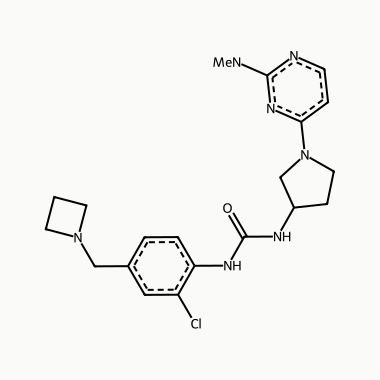 CNc1nccc(N2CCC(NC(=O)Nc3ccc(CN4CCC4)cc3Cl)C2)n1